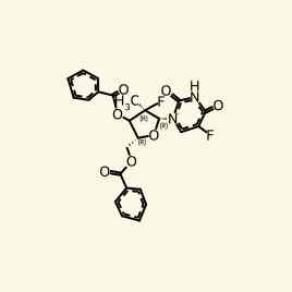 C[C@@]1(F)C(OC(=O)c2ccccc2)[C@@H](COC(=O)c2ccccc2)O[C@H]1n1cc(F)c(=O)[nH]c1=O